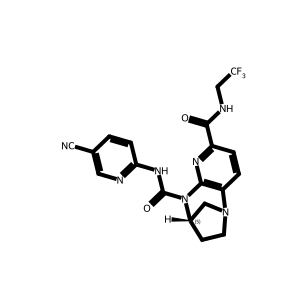 N#Cc1ccc(NC(=O)N2c3nc(C(=O)NCC(F)(F)F)ccc3N3CC[C@H]2C3)nc1